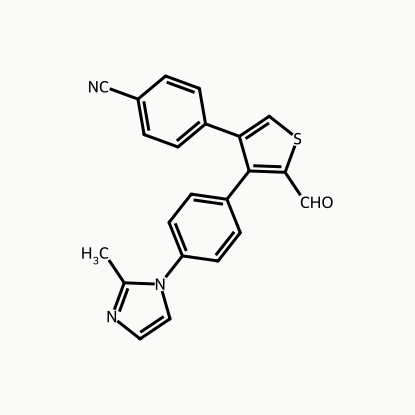 Cc1nccn1-c1ccc(-c2c(-c3ccc(C#N)cc3)csc2C=O)cc1